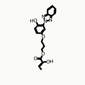 CC=C(O)C(=O)OCCCOc1ccc(O)c(-n2nc3ccccc3n2)c1